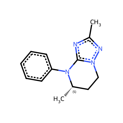 Cc1nc2n(n1)CC[C@H](C)N2c1ccccc1